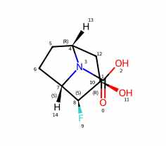 O=C(O)N1[C@@H]2CC[C@H]1[C@H](F)[C@H](O)C2